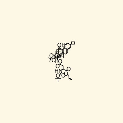 C=CCOC(=O)C(CC(=O)OCC(=O)[C@@]12OC(C)(C)O[C@@H]1C[C@H]1[C@@H]3CCC4=CC(=O)C=C[C@]4(C)C3(F)[C@@H](O)C[C@@]12C)NC(=O)OC(C)(C)C